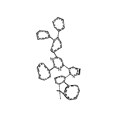 CC1(C)c2ccccc2-c2c(-c3ncccc3-c3cc(-c4ccc(-c5ccccc5)c(-c5ccccc5)c4)nc(-c4ccccc4)n3)cccc21